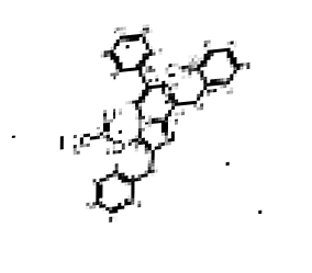 CC(=O)Oc1c(Cc2ccccc2)nc2c(Cc3ccccc3Cl)nc(-c3ccccc3)cn12